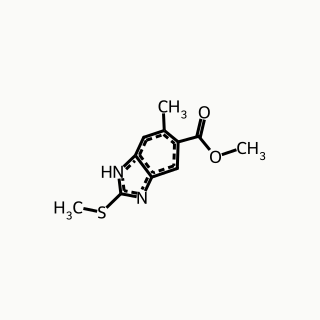 COC(=O)c1cc2nc(SC)[nH]c2cc1C